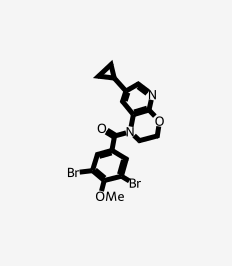 COc1c(Br)cc(C(=O)N2CCOc3ncc(C4CC4)cc32)cc1Br